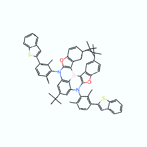 Cc1ccc(-c2cc3ccccc3s2)c(C)c1N1c2cc(C(C)(C)C)cc3c2B(c2c1oc1c2CC(C(C)(C)C)C=C1)c1c(oc2ccc(C(C)(C)C)cc12)N3c1c(C)ccc(-c2cc3ccccc3s2)c1C